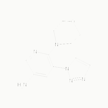 Nc1cnc(N2CCOCC2)c(-n2ccnn2)c1